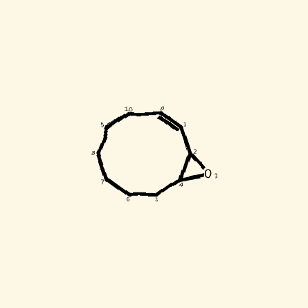 C1=CC2OC2CCCCCC1